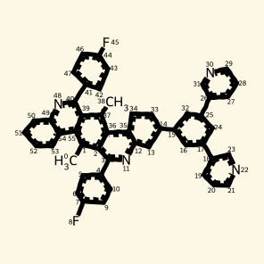 Cc1c2c(-c3ccc(F)cc3)nc3cc(-c4cc(-c5cccnc5)cc(-c5cccnc5)c4)ccc3c2c(C)c2c(-c3ccc(F)cc3)nc3ccccc3c12